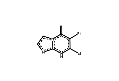 CCc1[nH]c2nccn2c(=O)c1CC